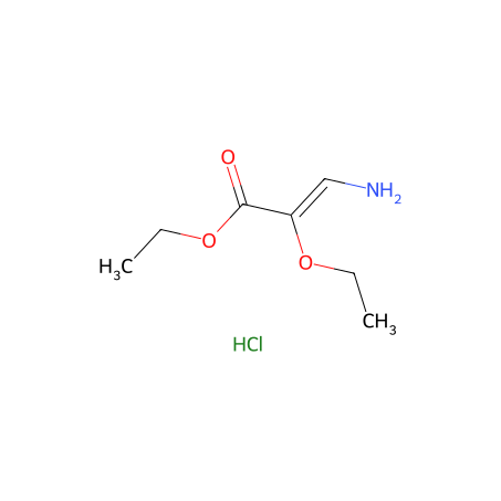 CCOC(=O)C(=CN)OCC.Cl